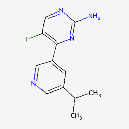 CC(C)c1cncc(-c2nc(N)ncc2F)c1